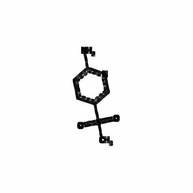 CS(=O)(=O)c1ccc(N)nc1